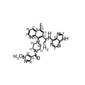 CC(Nc1ncnc2[nH]cnc12)c1cc(F)c2cccnc2c1N1CCN(C(=O)c2cnn(C)c2)CC1